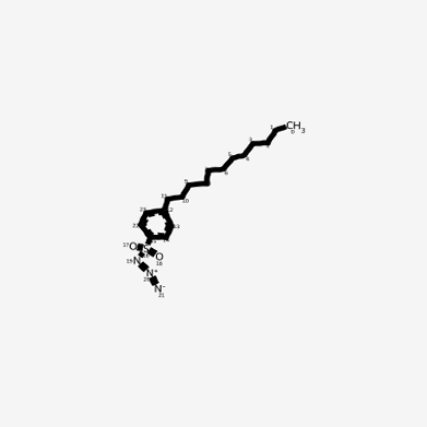 CCCCCCCCCCCCc1ccc(S(=O)(=O)N=[N+]=[N-])cc1